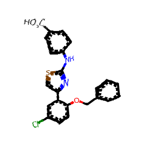 O=C(O)c1ccc(Nc2nc(-c3cc(Cl)ccc3OCc3ccccc3)cs2)cc1